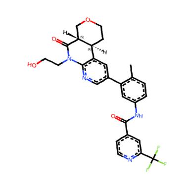 Cc1ccc(NC(=O)c2ccnc(C(F)(F)F)c2)cc1-c1cnc2c(c1)[C@@H]1CCOC[C@H]1C(=O)N2CCO